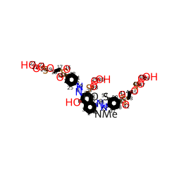 CNc1ccc2c(O)c(/N=N/c3ccc(S(=O)(=O)CCOSOOO)cc3)c(SOOO)cc2c1/N=N/c1ccc(S(=O)(=O)CCOSOOO)cc1S(=O)(=O)O